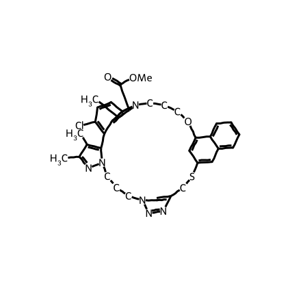 COC(=O)c1c(C)c2c3c(Cl)ccc2n1CCCOc1cc(cc2ccccc12)SCc1cn(nn1)CCCn1nc(C)c(C)c1-3